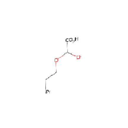 CC(C)CCOC([O])C(=O)O